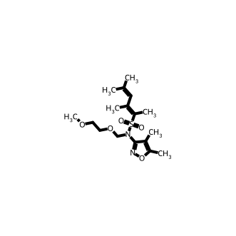 COCCOCN(c1noc(C)c1C)S(=O)(=O)/C(C)=C(\C)C=C(C)C